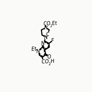 CCOC(=O)N1CCN(c2nc3c(cc2F)c(=O)c(C(=O)O)cn3CC)CC1